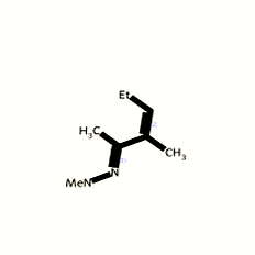 CC/C=C(C)\C(C)=N\NC